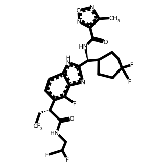 Cc1nonc1C(=O)N[C@H](c1nc2c(F)c([C@@H](CC(F)(F)F)C(=O)NCC(F)F)ccc2[nH]1)C1CCC(F)(F)CC1